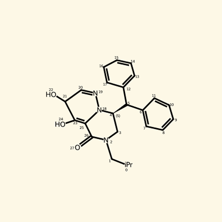 CC(C)CN1C[C@H](C(c2ccccc2)c2ccccc2)N2N=CC(O)C(O)=C2C1=O